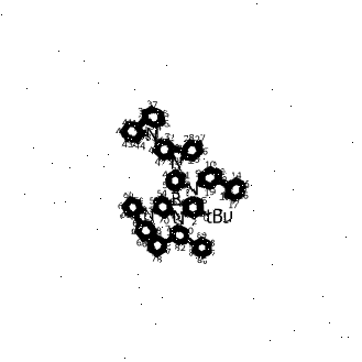 CC(C)(C)c1cc2c3c(c1)N(c1cccc(-c4ccccc4)c1)c1cc(-n4c5ccccc5c5cc(-n6c7ccccc7c7ccccc76)ccc54)ccc1B3c1ccc(-n3c4ccccc4c4ccccc43)cc1N2c1cc(-c2ccccc2)cc(-c2ccccc2)c1